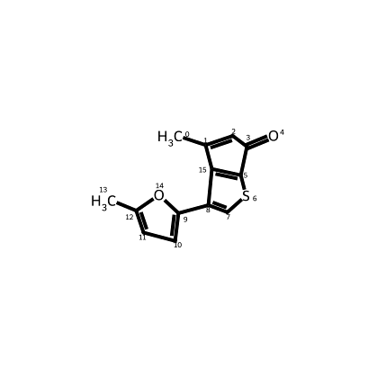 CC1=CC(=O)c2scc(-c3ccc(C)o3)c21